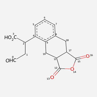 O=CCC(C(=O)O)c1cccc2c1CC1C(=O)OC(=O)C1C2